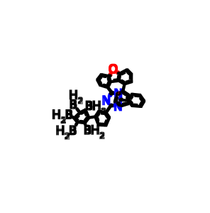 Bc1c(B)c(B)c(-c2cccc(-c3nc(-c4ccccc4)nc(-c4cccc5oc6cccc(-c7ccccc7)c6c45)n3)c2)c(B)c1B